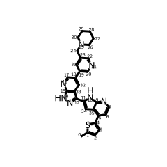 Cc1ccc(-c2ccnc3[nH]c(-c4n[nH]c5ncc(-c6cncc(CN7CCCCC7)c6)cc45)cc23)s1